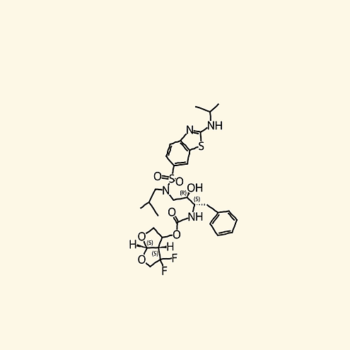 CC(C)CN(C[C@@H](O)[C@H](Cc1ccccc1)NC(=O)OC1CO[C@H]2OCC(F)(F)[C@@H]12)S(=O)(=O)c1ccc2nc(NC(C)C)sc2c1